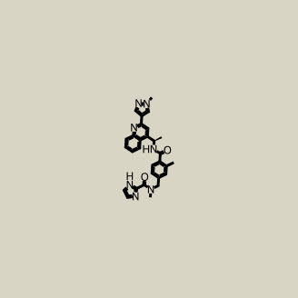 Cc1cc(CN(C)C(=O)c2ncc[nH]2)ccc1C(=O)N[C@H](C)c1cc(-c2cnn(C)c2)nc2ccccc12